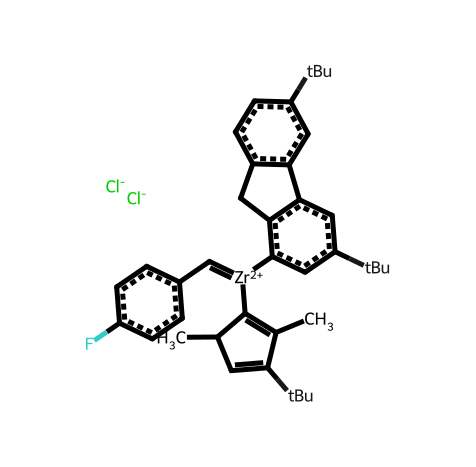 CC1=[C]([Zr+2](=[CH]c2ccc(F)cc2)[c]2cc(C(C)(C)C)cc3c2Cc2ccc(C(C)(C)C)cc2-3)C(C)C=C1C(C)(C)C.[Cl-].[Cl-]